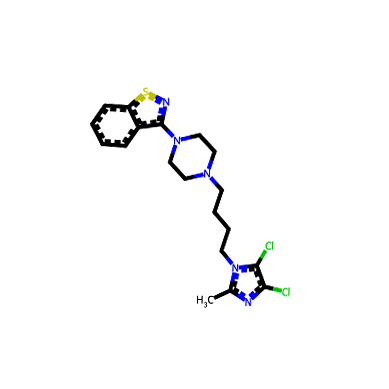 Cc1nc(Cl)c(Cl)n1CCCCN1CCN(c2nsc3ccccc23)CC1